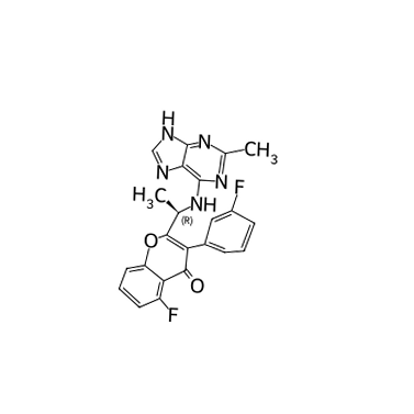 Cc1nc(N[C@H](C)c2oc3cccc(F)c3c(=O)c2-c2cccc(F)c2)c2nc[nH]c2n1